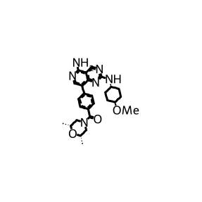 CO[C@H]1CC[C@H](Nc2ncc3c(N)ncc(-c4ccc(C(=O)N5C[C@@H](C)O[C@@H](C)C5)cc4)c3n2)CC1